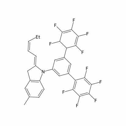 CC/C=C\C=C1/Cc2cc(C)ccc2N1c1cc(-c2c(F)c(F)c(F)c(F)c2F)cc(C2C(F)=C(F)C(F)=C(F)C2F)c1